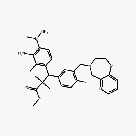 COC(=O)C(C)(C)C(c1ccc(C)c(CN2CCOc3cccnc3C2)c1)c1ccc(N(C)N)c(N)c1C